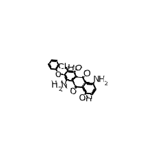 Nc1ccc(O)c2c1C(=O)c1c(O)c(Cl)c(Oc3ccccc3)c(N)c1C2=O